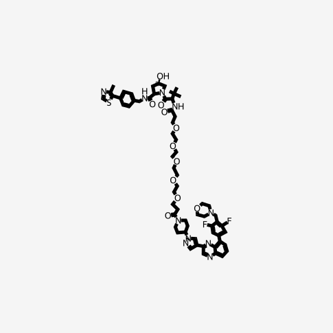 Cc1ncsc1-c1ccc(CNC(=O)C2C[C@@H](O)CN2C(=O)C(NC(=O)CCOCCOCCOCCOCCOCCC(=O)N2CCC(n3cc(-c4cnc5cccc(-c6cc(F)c(CN7CCOCC7)c(F)c6)c5n4)cn3)CC2)C(C)(C)C)cc1